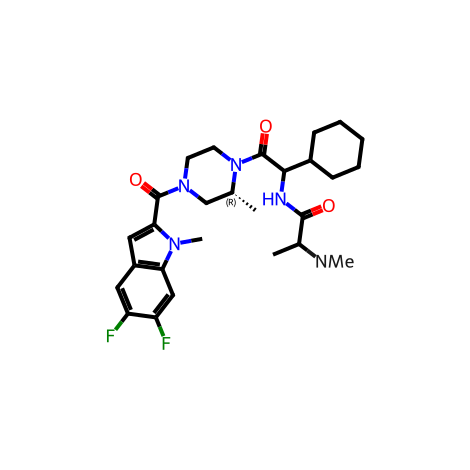 CNC(C)C(=O)NC(C(=O)N1CCN(C(=O)c2cc3cc(F)c(F)cc3n2C)C[C@H]1C)C1CCCCC1